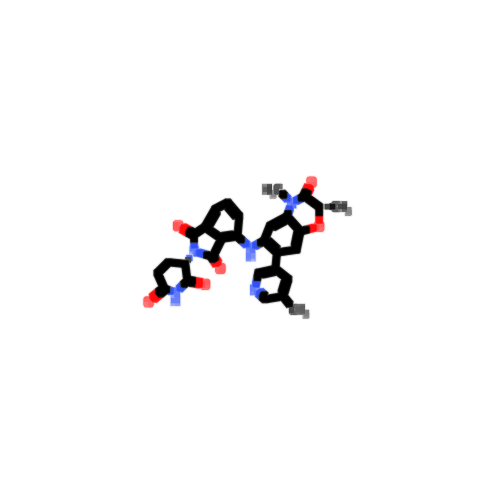 Cc1cncc(-c2cc3c(cc2Nc2cccc4c2C(=O)N([C@H]2CCC(=O)NC2=O)C4=O)N(C)C(=O)[C@H](C)O3)c1